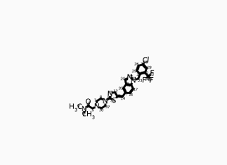 CN(C)C(=O)CN1CCN(C2=NCC(=Cc3ccc4c(cnn4Cc4ccc(Cl)cc4C(F)(F)F)c3)S2)CC1